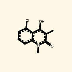 Cc1c(O)c2c(Cl)cccc2n(C)c1=O